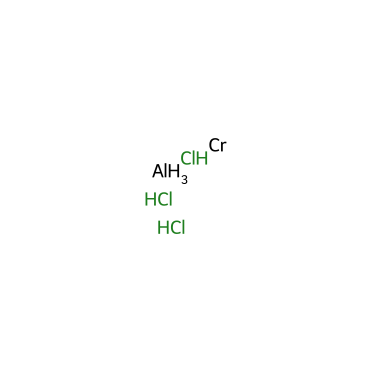 Cl.Cl.Cl.[AlH3].[Cr]